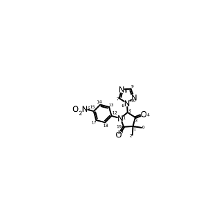 CC1(C)C(=O)C(n2cncn2)N(c2ccc([N+](=O)[O-])cc2)C1=O